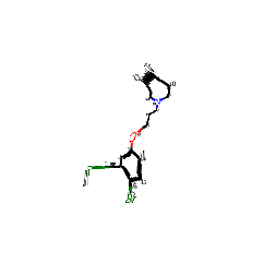 Fc1cc(OCCCN2CCCCC2)ccc1Br